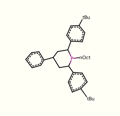 CCCCCCCCP1C(c2ccc(C(C)(C)C)cc2)CC(c2ccccc2)CC1c1ccc(C(C)(C)C)cc1